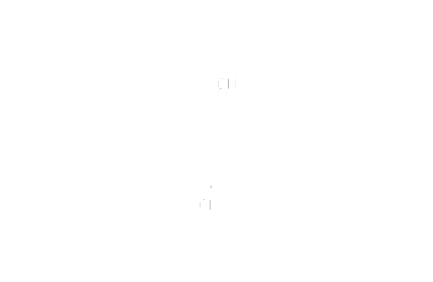 CCC[C@H]1CC[C@H](CCC2CCC(COC)CC2)CC1